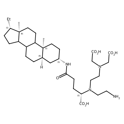 CC[C@H]1CCC2C3CC[C@@H]4C[C@@H](NC(=O)CC[C@@H](C(=O)O)N(CCN)CCN(CC(=O)O)CC(=O)O)CC[C@]4(C)C3CC[C@@]21C